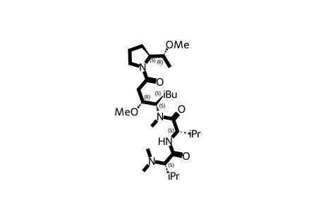 CC[C@H](C)[C@@H]([C@@H](CC(=O)N1CCC[C@H]1[C@@H](C)OC)OC)N(C)C(=O)[C@@H](NC(=O)[C@H](C(C)C)N(C)C)C(C)C